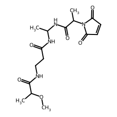 COC(C)C(=O)NCCC(=O)NC(C)NC(=O)C(C)N1C(=O)C=CC1=O